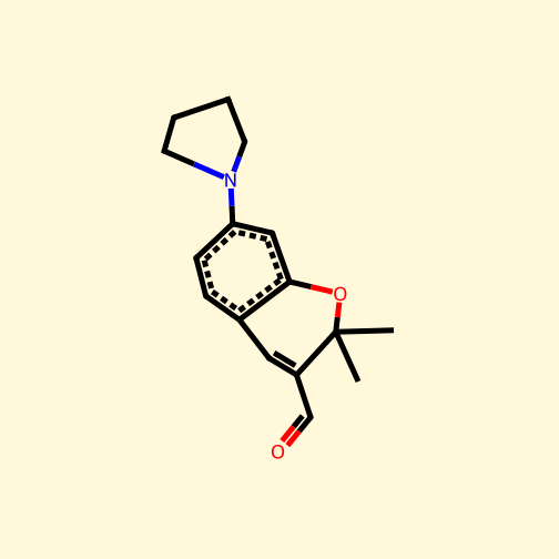 CC1(C)Oc2cc(N3CCCC3)ccc2C=C1C=O